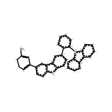 NC1=CC(c2ccc3sc4ccc(-c5ccccc5-n5c6ccccc6c6ccccc65)cc4c3c2)=CCC1